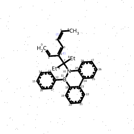 C=C/C(=C\C=C/C)C(CC)(CC)N1B(c2ccccc2)c2ccccc2-c2ccccc21